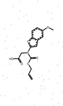 C=CCOC(=O)N(CC(=O)O)c1cc2cc(OC)ccc2s1